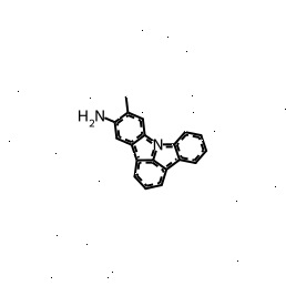 Cc1cc2c(cc1N)c1cccc3c4ccccc4n2c31